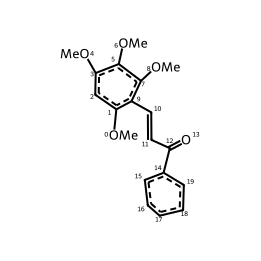 COc1cc(OC)c(OC)c(OC)c1C=CC(=O)c1ccccc1